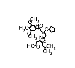 COc1cc([C@@H](O)C[C@H](Cc2nc(CC(=O)O)c(CC(C)C)s2)OC2CCCC2)cc(OC)c1C